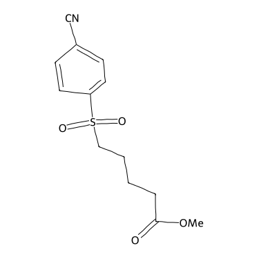 COC(=O)CCCCS(=O)(=O)c1ccc(C#N)cc1